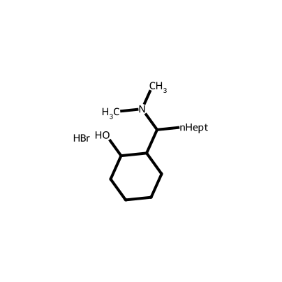 Br.CCCCCCCC(C1CCCCC1O)N(C)C